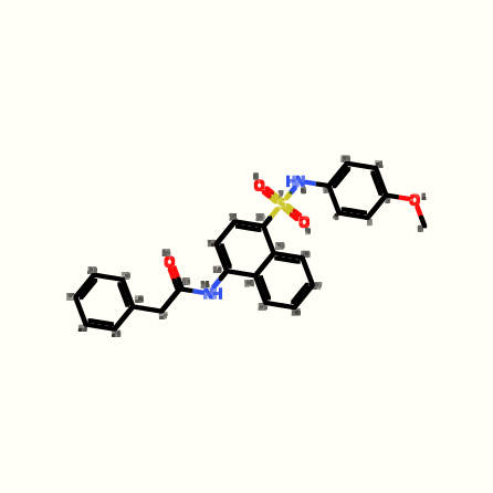 COc1ccc(NS(=O)(=O)c2ccc(NC(=O)Cc3ccccc3)c3ccccc23)cc1